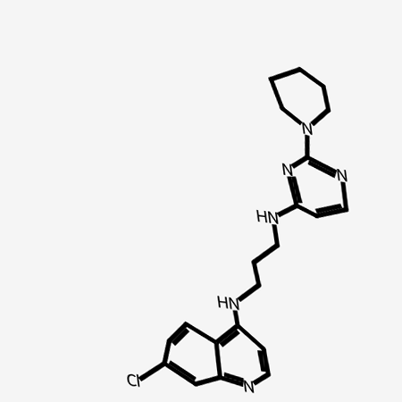 Clc1ccc2c(NCCCNc3ccnc(N4CCCCC4)n3)ccnc2c1